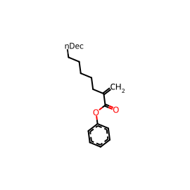 C=C(CCCCCCCCCCCCCCC)C(=O)Oc1ccccc1